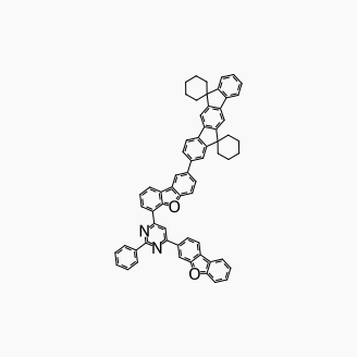 c1ccc(-c2nc(-c3ccc4c(c3)oc3ccccc34)cc(-c3cccc4c3oc3ccc(-c5ccc6c(c5)C5(CCCCC5)c5cc7c(cc5-6)C5(CCCCC5)c5ccccc5-7)cc34)n2)cc1